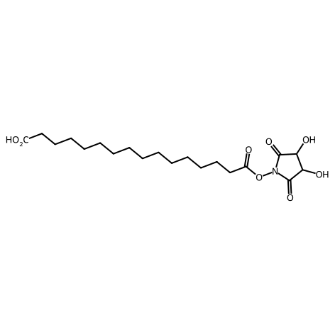 O=C(O)CCCCCCCCCCCCCCC(=O)ON1C(=O)C(O)C(O)C1=O